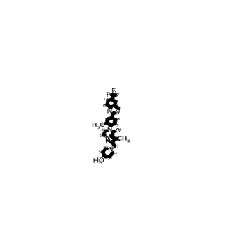 Cc1cc(-c2ncc3cc(C(F)(F)F)ccc3n2)ccc1N1CCn2nc(CN3CCC(O)CC3)c(C)c2C1=O